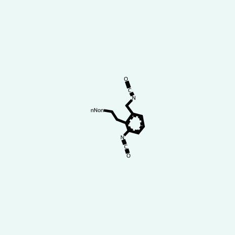 CCCCCCCCCCCc1c(CN=C=O)cccc1N=C=O